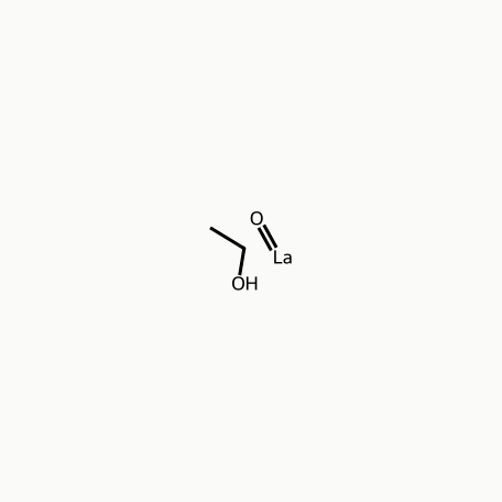 CCO.[O]=[La]